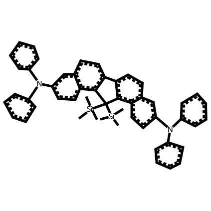 C[Si](C)(C)C1([Si](C)(C)C)c2c(ccc3cc(N(c4ccccc4)c4ccccc4)ccc23)-c2ccc3cc(N(c4ccccc4)c4ccccc4)ccc3c21